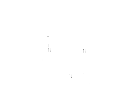 CC1=C2C(=C(c3ccccc3F)N=CC(=O)N2C)NO1